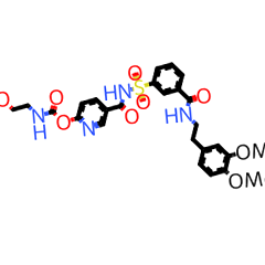 COc1ccc(CCNC(=O)c2cccc(S(=O)(=O)NC(=O)c3ccc(OC(=O)NCCO)nc3)c2)cc1OC